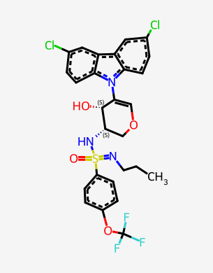 CCCN=S(=O)(N[C@H]1COC=C(n2c3ccc(Cl)cc3c3cc(Cl)ccc32)[C@H]1O)c1ccc(OC(F)(F)F)cc1